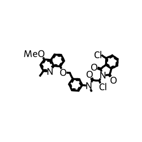 COc1cc(C)nc2c(OCc3cccc(N(C)C(=O)C(Cl)N4C(=O)c5cccc(Cl)c5C4=O)c3)cccc12